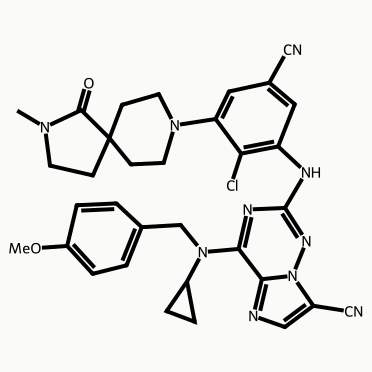 COc1ccc(CN(c2nc(Nc3cc(C#N)cc(N4CCC5(CCN(C)C5=O)CC4)c3Cl)nn3c(C#N)cnc23)C2CC2)cc1